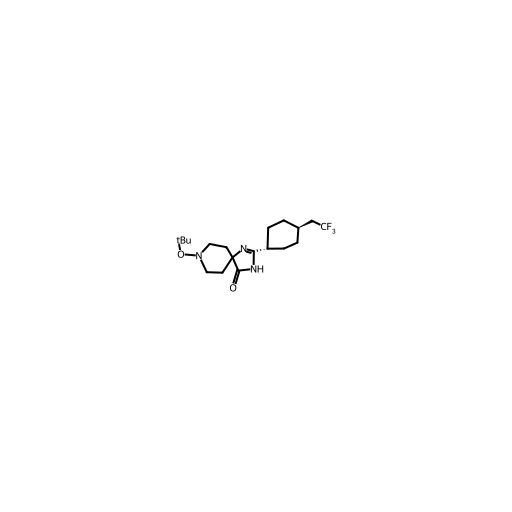 CC(C)(C)ON1CCC2(CC1)N=C([C@H]1CC[C@H](CC(F)(F)F)CC1)NC2=O